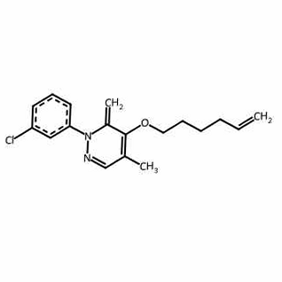 C=CCCCCOC1=C(C)C=NN(c2cccc(Cl)c2)C1=C